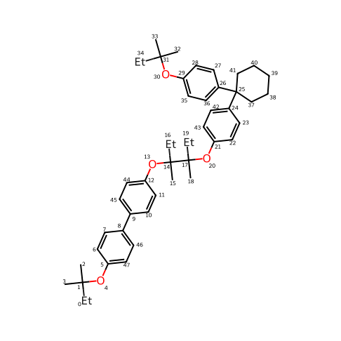 CCC(C)(C)Oc1ccc(-c2ccc(OC(C)(CC)C(C)(CC)Oc3ccc(C4(c5ccc(OC(C)(C)CC)cc5)CCCCC4)cc3)cc2)cc1